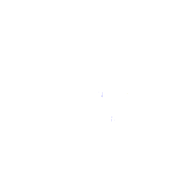 C[S+]([O-])c1ncc2c(n1)-c1ccccc1CC2